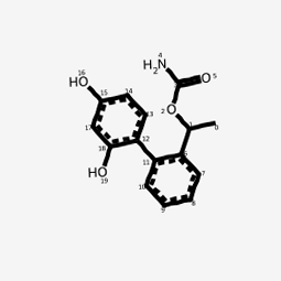 CC(OC(N)=O)c1ccccc1-c1ccc(O)cc1O